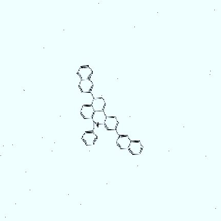 c1ccc(N2c3cc(-c4ccc5ccccc5c4)ccc3-c3ccc(-c4ccc5ccccc5c4)c4cccc2c34)cc1